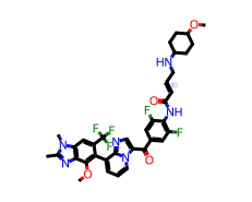 COc1c(-c2cccn3c(C(=O)c4cc(F)c(NC(=O)/C=C/CNC5CCC(OC)CC5)c(F)c4)cnc23)c(C(F)(F)F)cc2c1nc(C)n2C